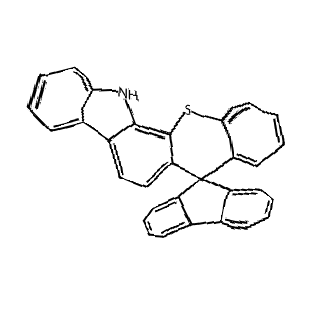 c1ccc2c(c1)Sc1c(ccc3c1[nH]c1ccccc13)C21c2ccccc2-c2ccccc21